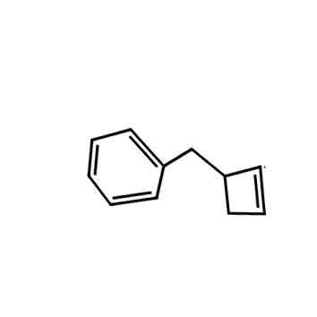 [C]1=CCC1Cc1ccccc1